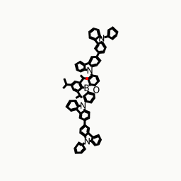 CC(C)c1cc(C(C)C)c(B2c3cc(-n4c5ccccc5c5cc(-c6ccc7c(c6)c6ccccc6n7-c6ccccc6)ccc54)ccc3OC3C=CC(n4c5ccccc5c5cc(-c6ccc7c(c6)c6ccccc6n7-c6ccccc6)ccc54)=CC23)c(C(C)C)c1